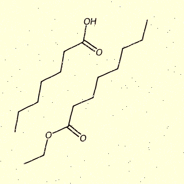 CCCCCCC(=O)O.CCCCCCCC(=O)OCC